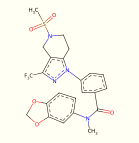 CN(C(=O)c1cccc(-n2nc(C(F)(F)F)c3c2CCN(S(C)(=O)=O)C3)c1)c1ccc2c(c1)OCO2